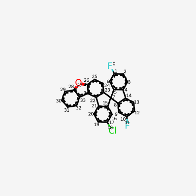 Fc1ccc2c(c1)C1(c3cc(F)ccc3-2)c2cc(Cl)ccc2-c2c1ccc1oc3ccccc3c21